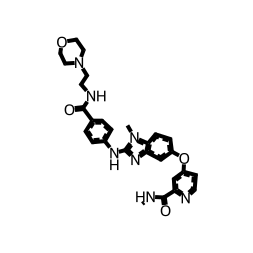 CNC(=O)c1cc(Oc2ccc3c(c2)nc(Nc2ccc(C(=O)NCCN4CCOCC4)cc2)n3C)ccn1